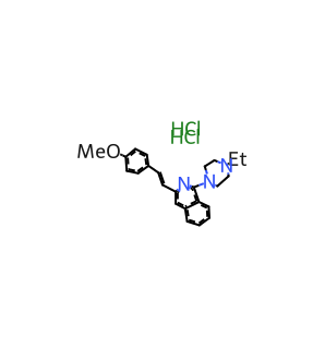 CCN1CCN(c2nc(C=Cc3ccc(OC)cc3)cc3ccccc23)CC1.Cl.Cl